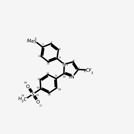 CSc1ccc(-n2cc(C(F)(F)F)nc2-c2ccc(S(C)(=O)=O)cc2)cc1